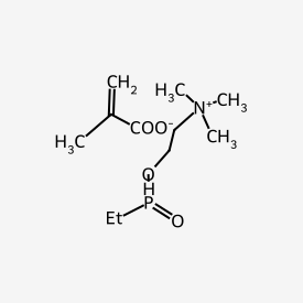 C=C(C)C(=O)[O-].CC[PH](=O)OCC[N+](C)(C)C